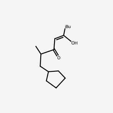 CCC(C)/C(O)=C/C(=O)C(C)CC1CCCC1